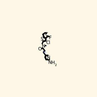 CN(Cc1sc2cccc(F)c2c1Cl)C(=O)/C=C/c1ccc(N)nc1